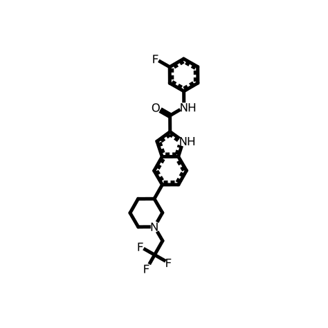 O=C(Nc1cccc(F)c1)c1cc2cc(C3CCCN(CC(F)(F)F)C3)ccc2[nH]1